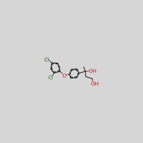 CC(O)(CCO)c1ccc(Oc2ccc(Cl)cc2Cl)cc1